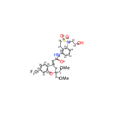 COCC1(COC)C/C(=C\C(=O)Nc2cccc3c2CCS(=O)(=O)N3CCO)c2ccc(C(F)(F)F)cc2O1